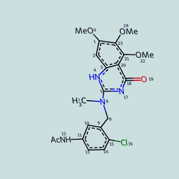 COc1cc2[nH]c(N(C)Cc3cc(NC(C)=O)ccc3Cl)nc(=O)c2c(OC)c1OC